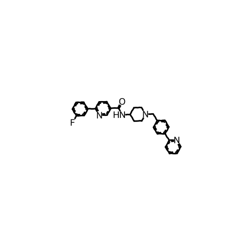 O=C(NC1CCN(Cc2ccc(-c3ccccn3)cc2)CC1)c1ccc(-c2cccc(F)c2)nc1